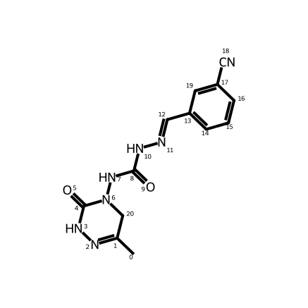 CC1=NNC(=O)N(NC(=O)N/N=C/c2cccc(C#N)c2)C1